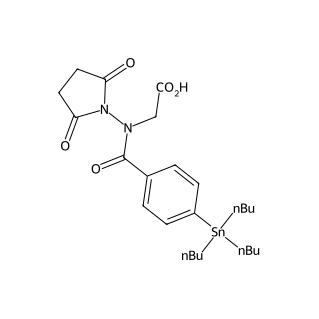 CCC[CH2][Sn]([CH2]CCC)([CH2]CCC)[c]1ccc(C(=O)N(CC(=O)O)N2C(=O)CCC2=O)cc1